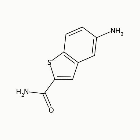 NC(=O)c1cc2cc(N)ccc2s1